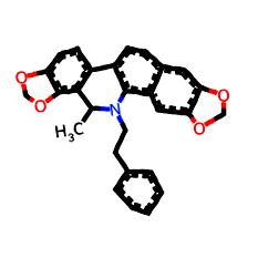 CC1c2c(ccc3c2OCO3)-c2ccc3cc4c(cc3c2N1CCc1ccccc1)OCO4